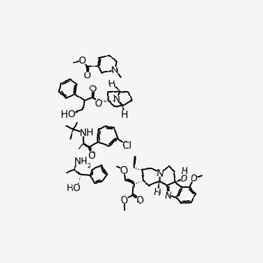 CC(N)[C@@H](O)c1ccccc1.CC(NC(C)(C)C)C(=O)c1cccc(Cl)c1.CC[C@@H]1CN2CC[C@@]3(O)C(=Nc4cccc(OC)c43)[C@@H]2C[C@@H]1/C(=C\OC)C(=O)OC.CN1[C@@H]2CC[C@H]1C[C@@H](OC(=O)C(CO)c1ccccc1)C2.COC(=O)C1=CCCN(C)C1